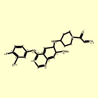 C=CC(=O)N1CCC(NC2C=c3c(Nc4ccc(F)c(Cl)c4)ncnc3=CC2OC)CC1